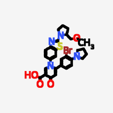 COCC1CCCN1c1nc2ccc(-n3cc(C(=O)O)c(=O)cc3-c3ccc(N4CCCC4)c(Br)c3)cc2s1